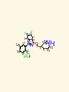 Cl.Fc1cc2c(OCC3CCCNC3)nn(-c3ccccc3F)c2cc1F